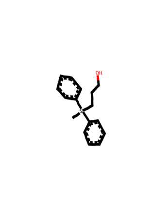 C[Si](CCCO)(c1ccccc1)c1ccccc1